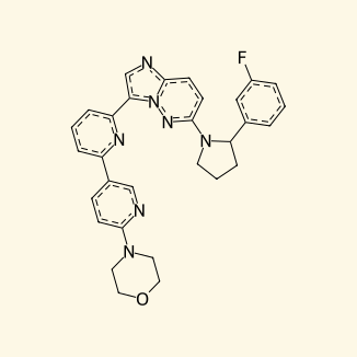 Fc1cccc(C2CCCN2c2ccc3ncc(-c4cccc(-c5ccc(N6CCOCC6)nc5)n4)n3n2)c1